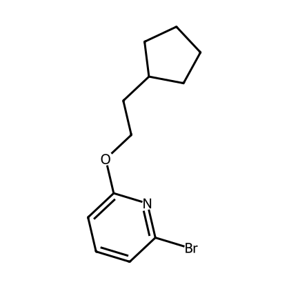 Brc1cccc(OCCC2CCCC2)n1